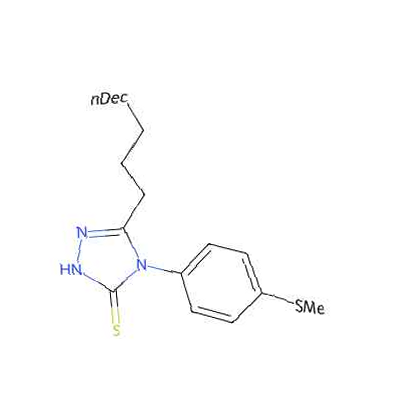 CCCCCCCCCCCCCc1n[nH]c(=S)n1-c1ccc(SC)cc1